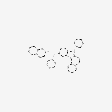 c1ccc([C@H](Cc2ccc3ccccc3c2)c2ccc3c(c2)c2c4ccccc4ccc2n3-c2ccccc2)cc1